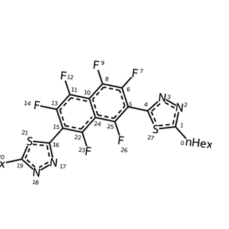 CCCCCCc1nnc(-c2c(F)c(F)c3c(F)c(F)c(-c4nnc(CCCCCC)s4)c(F)c3c2F)s1